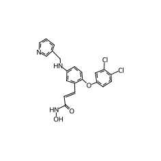 O=C(C=Cc1cc(NCc2cccnc2)ccc1Oc1ccc(Cl)c(Cl)c1)NO